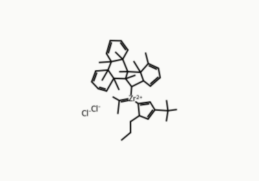 CCCC1C=C(C(C)(C)C)C=[C]1[Zr+2](=[C](C)C)[CH]1C2C=CC=C(C)C2(C)C2(C)C3(C)C=CC=CC3(C)C3(C)C=CC=CC3(C)C12C.[Cl-].[Cl-]